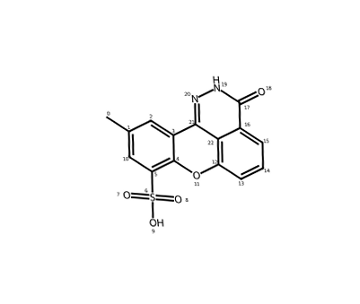 Cc1cc2c(c(S(=O)(=O)O)c1)Oc1cccc3c(=O)[nH]nc-2c13